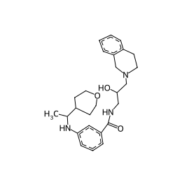 CC(Nc1cccc(C(=O)NCC(O)CN2CCc3ccccc3C2)c1)C1CCOCC1